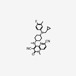 Cc1cc(N(CC2CC2)C2CCC(N(C)c3c(C#N)c(=O)n(C)c4ccc(C#N)nc34)CC2)ccc1F